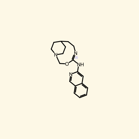 c1ccc2cc(N/C3=N/CCC4CCN(CC4)CO3)ncc2c1